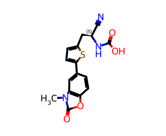 Cn1c(=O)oc2ccc(-c3ccc(C[C@@H](C#N)NC(=O)O)s3)cc21